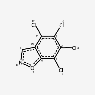 Clc1c(Cl)c(Cl)c2oncc2c1Cl